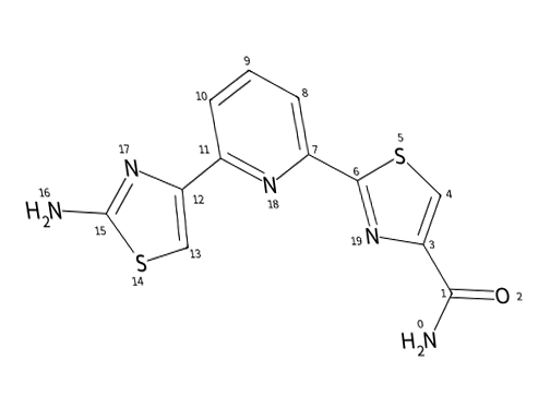 NC(=O)c1csc(-c2cccc(-c3csc(N)n3)n2)n1